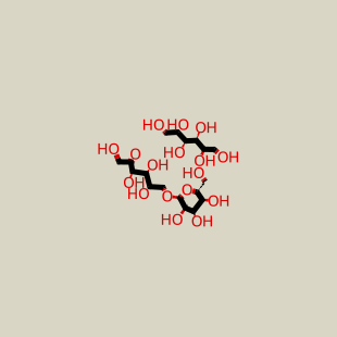 O=C(CO)[C@@H](O)[C@H](O)[C@H](O)CO[C@H]1O[C@H](CO)[C@@H](O)[C@H](O)[C@H]1O.OC[C@@H](O)[C@@H](O)[C@H](O)[C@H](O)CO